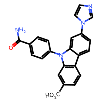 NC(=O)c1ccc(-n2c3cc(C(=O)O)ccc3c3ccc(-n4ccnc4)cc32)cc1